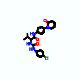 CC(C)C(NC(=O)Nc1ccc(Cl)cc1)C(=O)Nc1ccc(-n2ccccc2=O)cc1